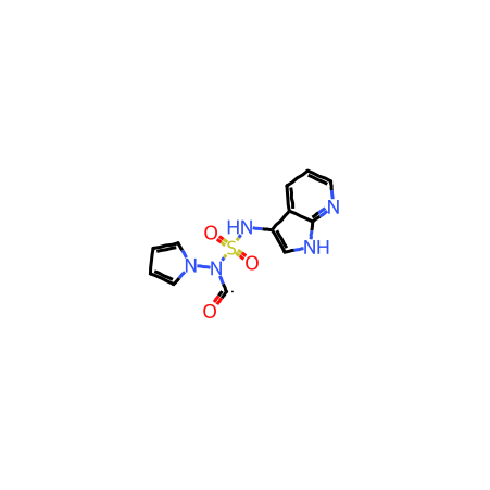 O=[C]N(n1cccc1)S(=O)(=O)Nc1c[nH]c2ncccc12